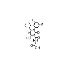 O=C(O)CNC(=O)c1c(O)nc(C2CCCCC2)n(-c2cc(F)cc(F)c2)c1=O